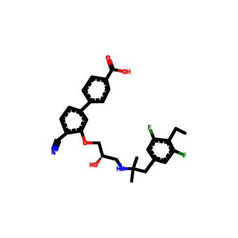 CCc1c(F)cc(CC(C)(C)NC[C@H](O)COc2cc(-c3ccc(C(=O)O)cc3)ccc2C#N)cc1F